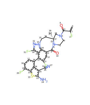 C=C(F)C(=O)N1CCN2C(=O)c3cc(F)c(-c4ccc(F)c5sc(N)c(C#N)c45)c4c(F)nn(c34)CC[C@H]2C1